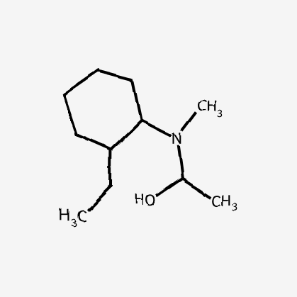 CCC1CCCCC1N(C)C(C)O